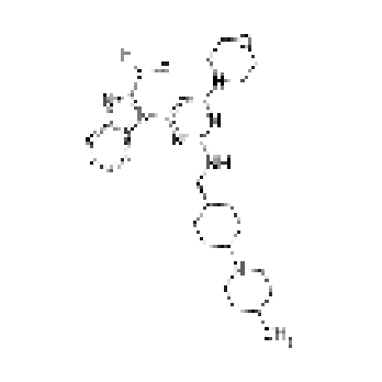 CC1CCN([C@H]2CC[C@H](CNc3nc(N4CCOCC4)cc(-n4c(C(F)F)nc5ccccc54)n3)CC2)CC1